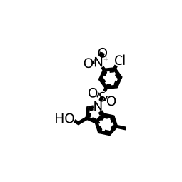 Cc1ccc2c(CO)cn(S(=O)(=O)c3ccc(Cl)c([N+](=O)[O-])c3)c2c1